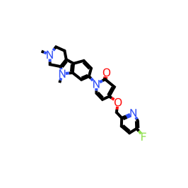 CN1CCc2c(n(C)c3cc(-n4ccc(OCc5ccc(F)cn5)cc4=O)ccc23)C1